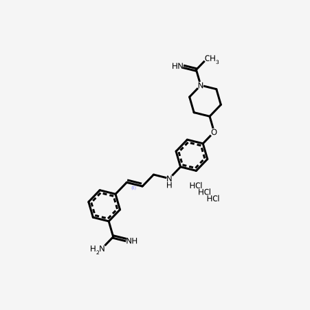 CC(=N)N1CCC(Oc2ccc(NC/C=C/c3cccc(C(=N)N)c3)cc2)CC1.Cl.Cl.Cl